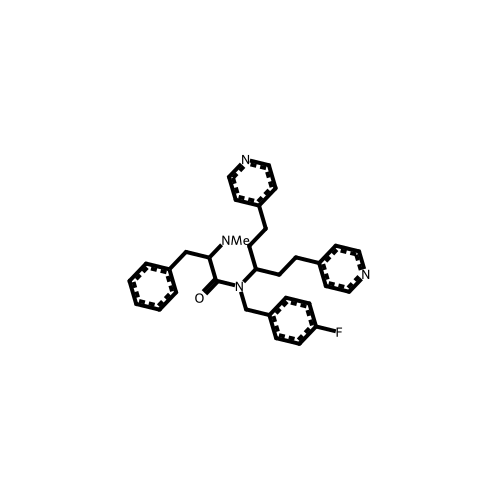 CNC(Cc1ccccc1)C(=O)N(Cc1ccc(F)cc1)C(CCc1ccncc1)CCc1ccncc1